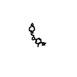 Cc1cc(OCCN2CCN(C)CC2)ccc1Br